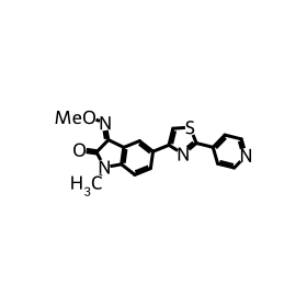 CON=C1C(=O)N(C)c2ccc(-c3csc(-c4ccncc4)n3)cc21